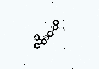 C[C@H](CC(=O)N1CCC(O)(CN2C=C(c3cncnc3)C(c3ccccc3)=CC2)CC1)c1ccccc1